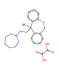 N#CC1(CCN2CCCCCC2)c2ccccc2COc2ccccc21.O=C(O)C(=O)O